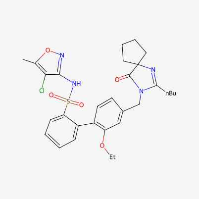 CCCCC1=NC2(CCCC2)C(=O)N1Cc1ccc(-c2ccccc2S(=O)(=O)Nc2noc(C)c2Cl)c(OCC)c1